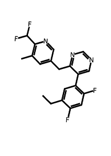 CCc1cc(-c2cncnc2Cc2cnc(C(F)F)c(C)c2)c(F)cc1F